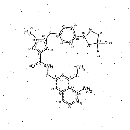 COc1cc(CNC(=O)c2nc(C)n(Cc3cnc(N4CCC(F)(F)C4)nc3)n2)cc2ccnc(N)c12